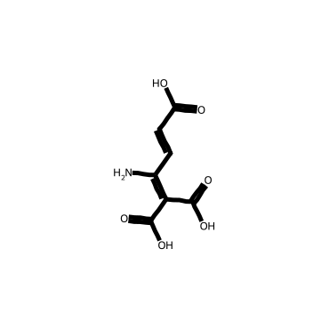 NC(C=CC(=O)O)=C(C(=O)O)C(=O)O